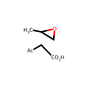 CC(=O)CC(=O)O.CC1CO1